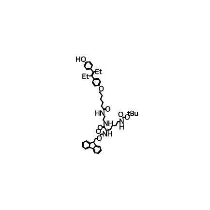 CC/C(=C(/CC)c1ccc(OCCCCCC(=O)NCCNC(=O)C(CCCCNC(=O)OC(C)(C)C)NC(=O)OCC2c3ccccc3-c3ccccc32)cc1)c1ccc(O)cc1